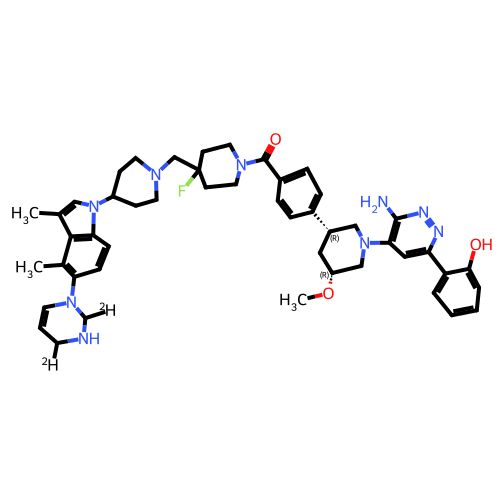 [2H]C1C=CN(c2ccc3c(c(C)cn3C3CCN(CC4(F)CCN(C(=O)c5ccc([C@H]6C[C@@H](OC)CN(c7cc(-c8ccccc8O)nnc7N)C6)cc5)CC4)CC3)c2C)C([2H])N1